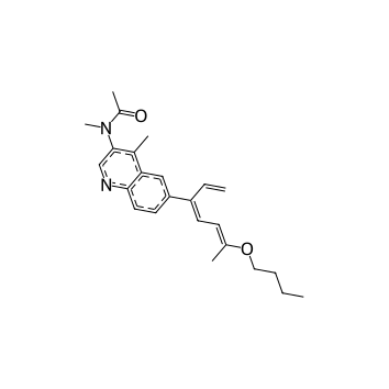 C=C/C(=C\C=C(/C)OCCCC)c1ccc2ncc(N(C)C(C)=O)c(C)c2c1